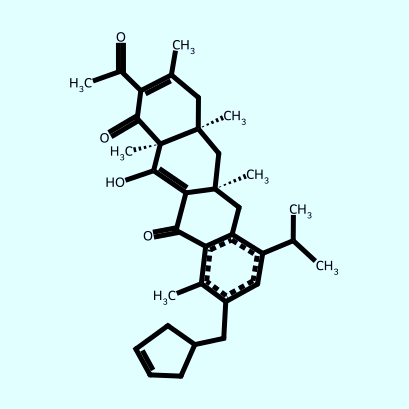 CC(=O)C1=C(C)C[C@@]2(C)C[C@@]3(C)Cc4c(C(C)C)cc(CC5CC=CC5)c(C)c4C(=O)C3=C(O)[C@@]2(C)C1=O